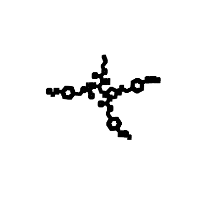 C=CCOC(=O)NC(C[C@H]1C[C@H](SCc2ccc(OC)cc2)CN1C(=O)OCc1ccc([N+](=O)[O-])cc1)NC(=O)OCc1ccc([N+](=O)[O-])cc1